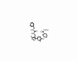 COC(=O)[C@H]1CCC[C@H](Oc2ccc(-c3nnn(C)c3CNC(=O)NCc3ccccc3)nc2C)C1